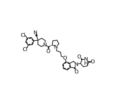 N#CC1(c2cc(Cl)cc(Cl)c2)CCN(C(=O)[C@H]2CCCN2CCCOc2cccc3c2CN(C2CCC(=O)NC2=O)C3=O)CC1